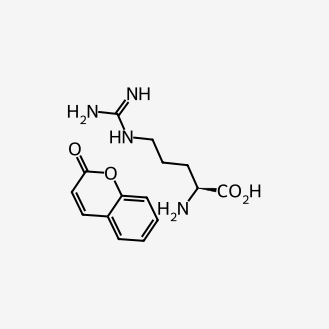 N=C(N)NCCC[C@H](N)C(=O)O.O=c1ccc2ccccc2o1